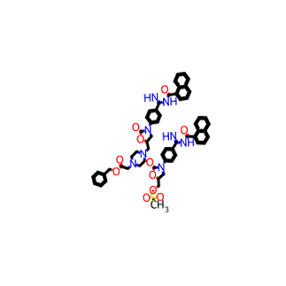 CS(=O)(=O)OCC1CN(c2ccc(C(=N)NC(=O)c3cccc4ccccc34)cc2)C(=O)O1.N=C(NC(=O)c1cccc2ccccc12)c1ccc(N2CC(CN3CCN(CC(=O)OCc4ccccc4)CC3)OC2=O)cc1